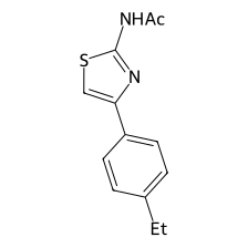 CCc1ccc(-c2csc(NC(C)=O)n2)cc1